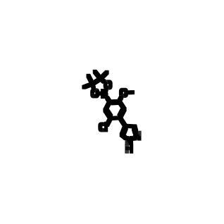 COc1cc(-c2cn[nH]c2)c(Cl)cc1B1OC(C)(C)C(C)(C)O1